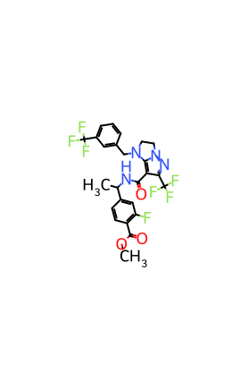 COC(=O)c1ccc(C(C)NC(=O)c2c(C(F)(F)F)nn3c2N(Cc2cccc(C(F)(F)F)c2)CC3)cc1F